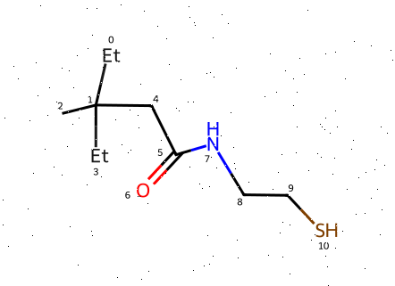 CCC(C)(CC)CC(=O)NCCS